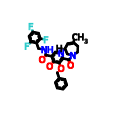 CC1=C[C@H]2CN(CC1)C(=O)c1c(OCc3ccccc3)c(=O)c(C(=O)NCc3c(F)cc(F)cc3F)cn12